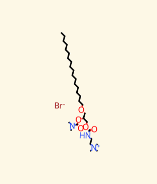 CCCCCCCCCCCCCCCCCCOCC(COC(=O)NCC[N+](C)(C)C)OC(=O)N(C)C.[Br-]